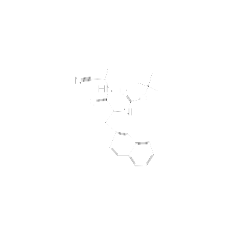 CC(C#N)NC(=O)C(Cc1ccc2ccccc2c1)NC(=O)OC(C)(C)C